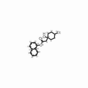 CCC1CCC(O)(CC(=O)Oc2cccc3ccccc23)CC1